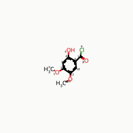 COc1cc(O)c(C(=O)Cl)cc1OC